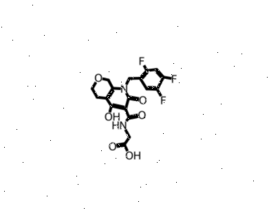 O=C(O)CNC(=O)c1c(O)c2c(n(Cc3cc(F)c(F)cc3F)c1=O)COCC2